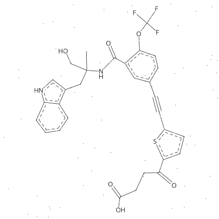 CC(CO)(Cc1c[nH]c2ccccc12)NC(=O)c1cc(C#Cc2ccc(C(=O)CCC(=O)O)s2)ccc1OC(F)(F)F